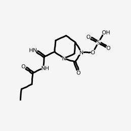 CCCC(=O)NC(=N)C1CCC2CN1C(=O)N2OS(=O)(=O)O